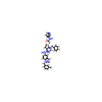 O=C(CS1=C2C(=C(Nc3ccc4c(cnn4Cc4cccc(F)c4)c3)N=CN2Cc2ccccc2)C=C1)NC1CN2CCC1CC2